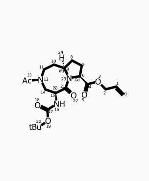 C=CCOC(=O)[C@@H]1CC[C@@H]2CCN(C(C)=O)C[C@H](NC(=O)OC(C)(C)C)C(=O)N21